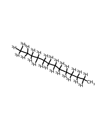 [2H]C([2H])([2H])C([2H])([2H])C([2H])([2H])C([2H])([2H])C([2H])([2H])C([2H])([2H])C([2H])([2H])C([2H])([2H])C([2H])([2H])C([2H])([2H])C([2H])([2H])C([2H])([2H])C